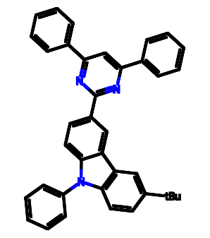 CC(C)(C)c1ccc2c(c1)c1cc(-c3nc(-c4ccccc4)cc(-c4ccccc4)n3)ccc1n2-c1ccccc1